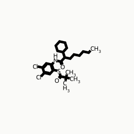 CCCCCCC(C(=O)Nc1cc(Cl)c(Cl)cc1SC(=O)C(C)(C)C)C1CCCCC1